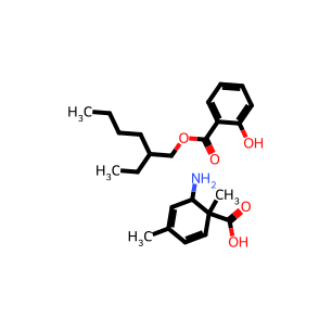 CC1=CC(N)C(C)(C(=O)O)C=C1.CCCCC(CC)COC(=O)c1ccccc1O